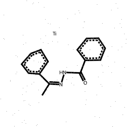 CC(=NNC(=O)c1ccccc1)c1ccccc1.[Ti]